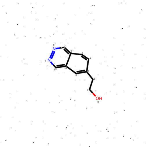 OCCc1ccc2cnncc2c1